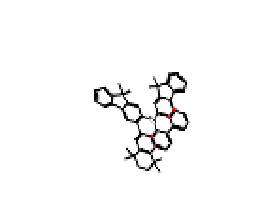 CC1(C)CCC(C)(C)c2cc(-c3cc4c(cc3N(c3ccc5c(c3)C(C)(C)c3ccccc3-5)c3ccccc3-c3ccccc3)C(C)(C)c3ccccc3-4)ccc21